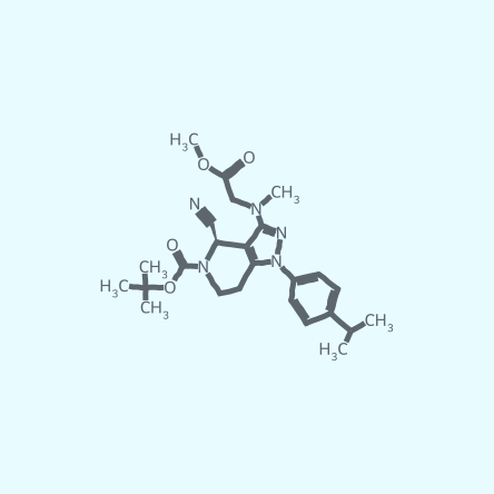 COC(=O)CN(C)c1nn(-c2ccc(C(C)C)cc2)c2c1[C@H](C#N)N(C(=O)OC(C)(C)C)CC2